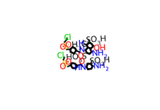 Cc1c(S(=O)(=O)O)cc(O)c2c(N)cc(S(=O)(=O)O)c(NC(=O)c3ccc(CS(=O)(=O)CCCl)cc3)c12.Nc1ccc(NC(=O)c2ccc(CS(=O)(=O)CCCl)cc2)cc1S(=O)(=O)O